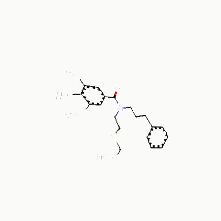 COc1cc(C(=O)N(CCCc2ccccc2)CCSCC(=O)O)cc(OC)c1C